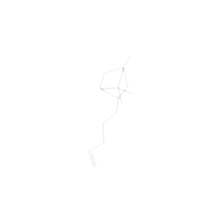 C=CCCCC1CC2(C)CC1C2(C)C